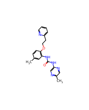 Cc1ccc(OCCc2ccccn2)c(NC(=O)Nc2cnc(C)cn2)c1